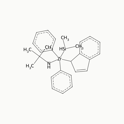 C[SiH](C)[Zr]([NH]C(C)(C)C)([c]1ccccc1)([c]1ccccc1)[CH]1C=Cc2ccccc21